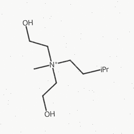 CC(C)CC[N+](C)(CCO)CCO